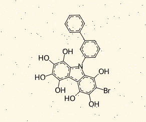 Oc1c(O)c(O)c2c(c1O)c1c(O)c(O)c(Br)c(O)c1n2-c1cccc(-c2ccccc2)c1